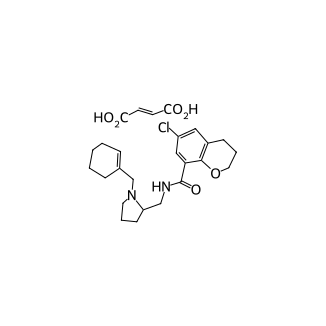 O=C(NCC1CCCN1CC1=CCCCC1)c1cc(Cl)cc2c1OCCC2.O=C(O)C=CC(=O)O